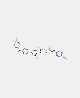 Nc1ccc(C=CC(=O)NCc2cc3c(Cl)cc(-c4ccc(C(=O)N5CCC(F)(F)CC5)cc4)cc3o2)cn1